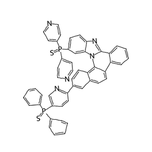 S=P(c1ccccc1)(c1ccccc1)c1ccc(-c2ccc3c(ccc4c5ccccc5c5nc6ccc(P(=S)(c7ccncc7)c7ccncc7)cc6n5c34)c2)nc1